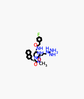 CNC(=O)[C@H](Cc1ccc2ccccc2c1)N1CC[C@H](CNC(=O)Cc2ccc(F)cc2)N[C@H](CCCNC(=N)N)C1=O